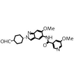 COc1cncc(C(=O)Nc2cc3cn([C@H]4CC[C@H](C=O)CC4)nc3cc2OC)c1